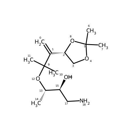 C=C([C@H]1COC(C)(C)O1)C(C)(C)O[C@@H](C)[C@@H](O)CN